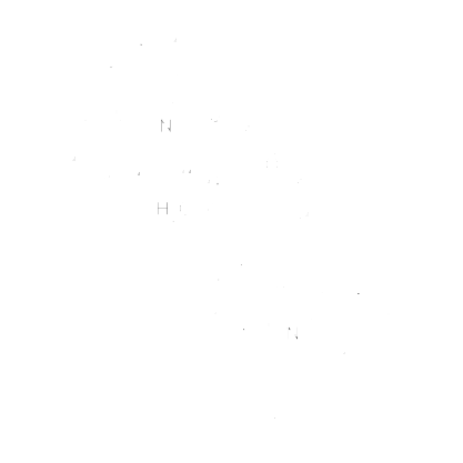 C=C1/C=C(c2cccc(-n3c4ccccc4c4ccccc43)c2)\C=C/COc2ccc(-n3c4ccccc4c4ccccc43)cc21